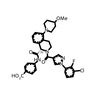 COC1CCN(c2cccc3c2CCN(C(=O)c2cnn(-c4cccc(Cl)c4F)c2)[C@@H]3C(=O)Nc2ccc(C(=O)O)cc2)CC1